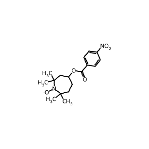 CC1(C)CCC(OC(=O)c2ccc([N+](=O)[O-])cc2)CC(C)(C)N1[O]